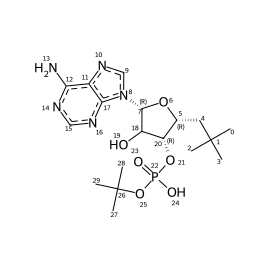 CC(C)(C)C[C@H]1O[C@@H](n2cnc3c(N)ncnc32)C(O)[C@H]1OP(=O)(O)OC(C)(C)C